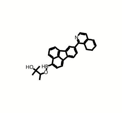 CC(OBc1ccc2c3c(cccc13)-c1cc(-c3nccc4c3CCC=C4)ccc1-2)C(C)(C)O